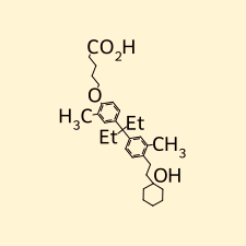 CCC(CC)(c1ccc(CCC2(O)CCCCC2)c(C)c1)c1ccc(OCCCCC(=O)O)c(C)c1